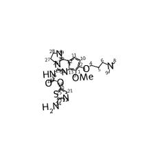 COc1c(OCCCN(C)C)ccc2c1N=C(NC(=O)Oc1cnc(N)s1)N1CCN=C21